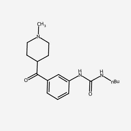 CCCCNC(=O)Nc1cccc(C(=O)C2CCN(C)CC2)c1